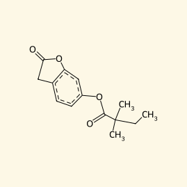 CCC(C)(C)C(=O)Oc1ccc2c(c1)OC(=O)C2